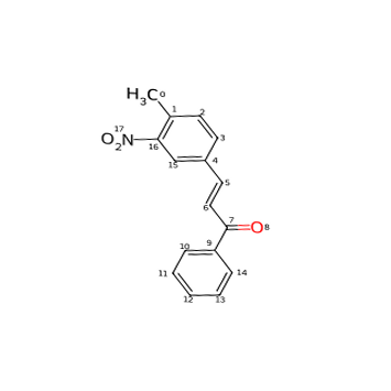 Cc1ccc(C=CC(=O)c2ccccc2)cc1[N+](=O)[O-]